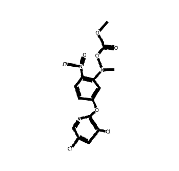 COC(=O)ON(C)c1cc(Oc2ncc(Cl)cc2Cl)ccc1[N+](=O)[O-]